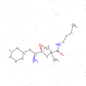 CCCCNC(=O)C(C)(C)C[C@H](O)[C@@H](N)CC1CCCCC1